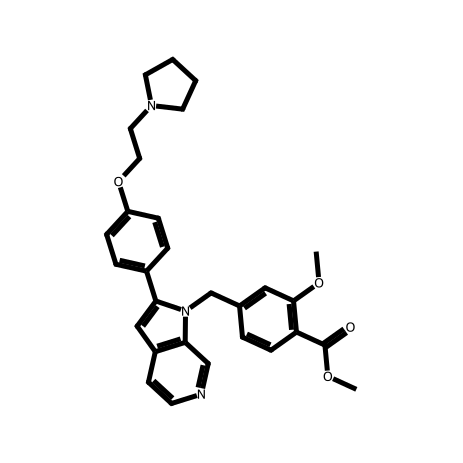 COC(=O)c1ccc(Cn2c(-c3ccc(OCCN4CCCC4)cc3)cc3ccncc32)cc1OC